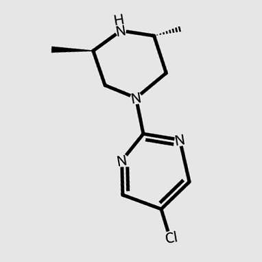 C[C@@H]1CN(c2ncc(Cl)cn2)C[C@@H](C)N1